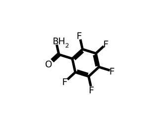 BC(=O)c1c(F)c(F)c(F)c(F)c1F